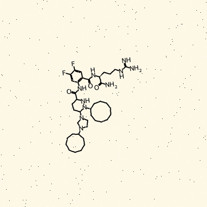 N=C(N)NCCC[C@H](NC(=O)c1cc(F)c(F)cc1NC(=O)C1CCC(N2CCN(C3CCCCCCCC3)C2)N(C2CCCCCCCCC2)N1)C(N)=O